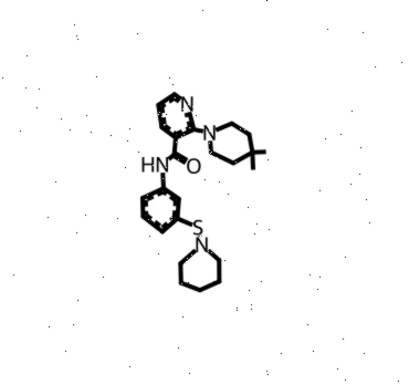 CC1(C)CCN(c2ncccc2C(=O)Nc2cccc(SN3CCCCC3)c2)CC1